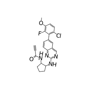 C#CC(=O)NC1CCCC1Nc1ncc2cc(-c3c(Cl)ccc(OC)c3F)ccc2n1